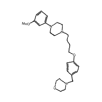 COc1cccc(N2CCN(CCCCOc3ccc(CN4CCOCC4)cc3)CC2)c1